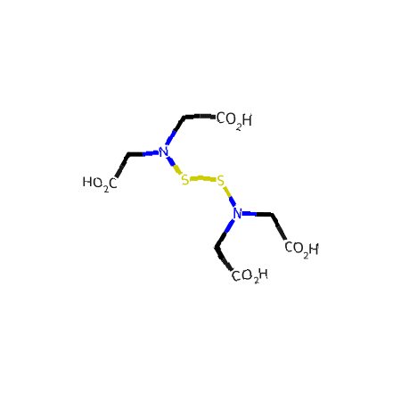 O=C(O)CN(CC(=O)O)SSN(CC(=O)O)CC(=O)O